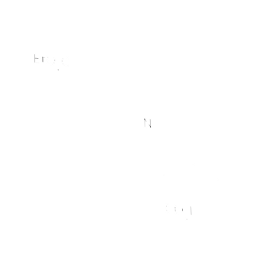 CCOC(=O)CCCn1cc(C(=O)O)c2ccccc21